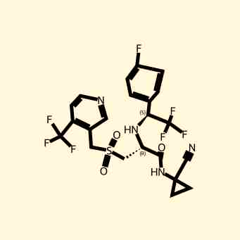 N#CC1(NC(=O)[C@H](CS(=O)(=O)Cc2cnccc2C(F)(F)F)N[C@@H](c2ccc(F)cc2)C(F)(F)F)CC1